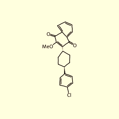 COC1=C([C@H]2CC[C@H](c3ccc(Cl)cc3)CC2)C(=O)c2ccccc2C1=O